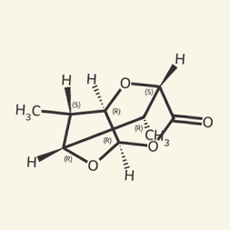 C[C@@H]1[C@@H]2O[C@@H]3OC(=O)[C@H]1O[C@@H]3[C@H]2C